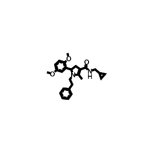 COc1ccc(OC)c(C2CC(C(=O)NCC3CC3)=C(C)N2CCc2ccccc2)c1